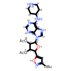 CC(=O)OC1C(c2cc(C(C)(C)C)no2)OC(n2cnc3c(NC4CCNCC4)ncnc32)C1OC(C)=O